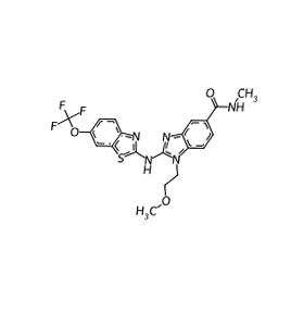 CNC(=O)c1ccc2c(c1)nc(Nc1nc3ccc(OC(F)(F)F)cc3s1)n2CCOC